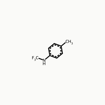 Cc1ccc(NC(F)(F)F)cc1